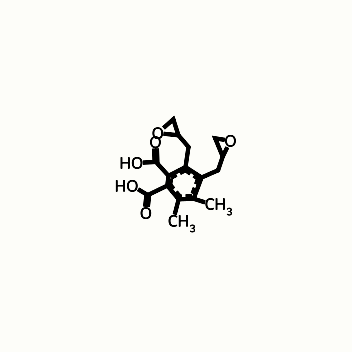 Cc1c(C)c(C(=O)O)c(C(=O)O)c(CC2CO2)c1CC1CO1